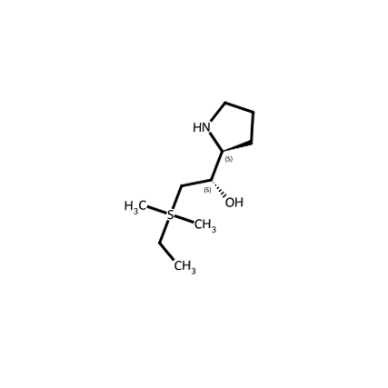 CCS(C)(C)C[C@@H](O)[C@@H]1CCCN1